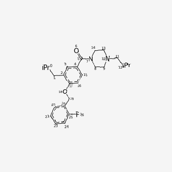 CC(C)Cc1cc(C(=O)N2CCN(CC(C)C)CC2)ccc1OCc1ccccc1F